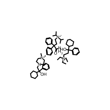 CC(C)[N+](C)(CCC(C(N)=O)(c1ccccc1)c1ccccc1)C(C)C.CC[N+](CC)(CC)CCC(O)(c1ccccc1)C1CCCCC1.C[N+]1(C)CCN(CC(O)(c2ccccc2)C2CCCCC2)CC1